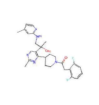 Cc1ccnc(NCC(C)(O)c2cnc(C)nc2C2CCN(C(=O)Cc3c(F)cccc3F)CC2)c1